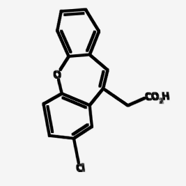 O=C(O)CC1=Cc2ccccc2Oc2ccc(Cl)cc21